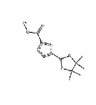 CC(C)(C)OC(=O)n1ccc(B2OC(C)(C)C(C)(C)O2)n1